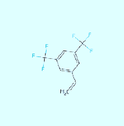 C=Cc1cc(C(F)(F)F)cc(C(F)(F)F)c1